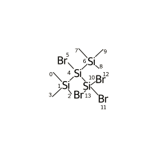 C[Si](C)(C)[Si](Br)([Si](C)(C)C)[Si](Br)(Br)Br